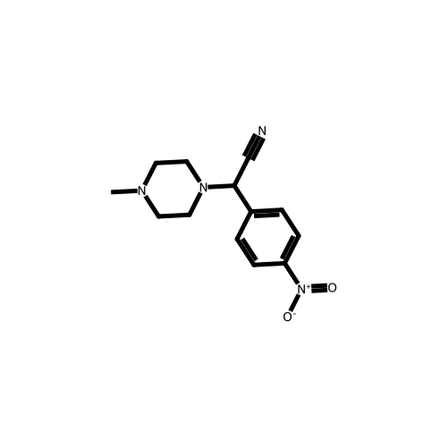 CN1CCN(C(C#N)c2ccc([N+](=O)[O-])cc2)CC1